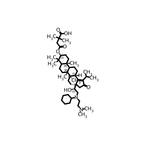 CC(C)C1=C2[C@H]3CCC4[C@@]5(C)CC[C@H](OC(=O)CC(C)(C)C(=O)O)C(C)(C)C5CC[C@@]4(C)[C@]3(C)CC[C@@]2([C@H](O)CN(CCN(C)C)C2CCCCC2)CC1=O